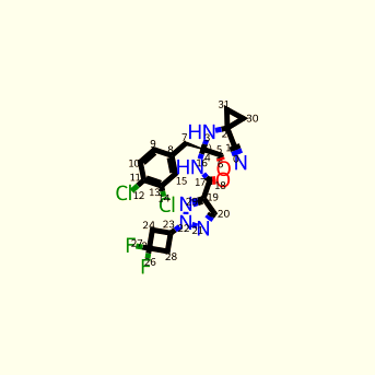 N#CC1(N[C@@](C=O)(Cc2ccc(Cl)c(Cl)c2)NC(=O)c2cnn(C3CC(F)(F)C3)n2)CC1